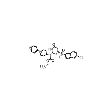 CCOC(=O)C(C1CCN(c2ccncc2)CC1)[C@@H]1CN(S(=O)(=O)c2ccc3cc(Cl)ccc3c2)CC(=O)N1